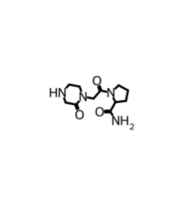 NC(=O)C1CCCN1C(=O)CN1CCNCC1=O